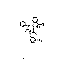 CN(C(=O)[C@@H]1[C@@H](Cc2ccnc(N)c2)C(=O)N1C(=O)NC(c1cccnc1)C1CC1)c1ccccc1